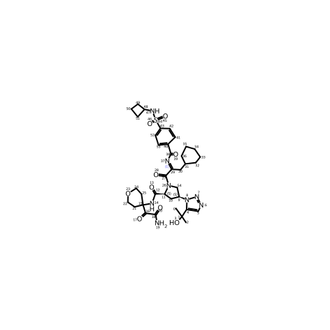 CC(C)(O)c1cnnn1[C@H]1C[C@@H](C(=O)NC2(C(=O)C(N)=O)CCOCC2)N(C(=O)/C(CC2CCCCC2)=N/C(=O)c2ccc(S(=O)(=O)NC3CCC3)cc2)C1